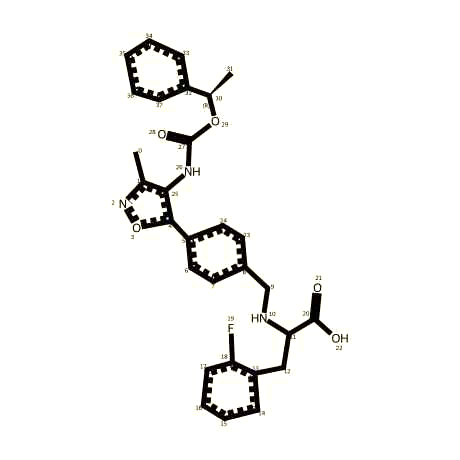 Cc1noc(-c2ccc(CNC(Cc3ccccc3F)C(=O)O)cc2)c1NC(=O)O[C@H](C)c1ccccc1